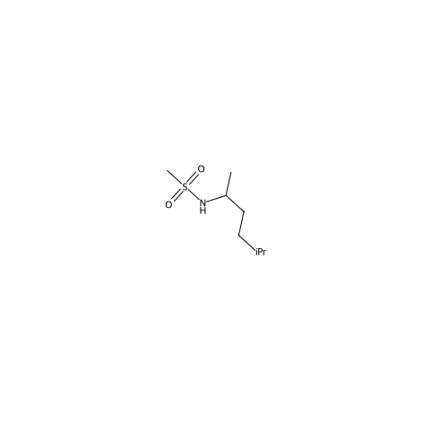 CC(C)CCC(C)NS(C)(=O)=O